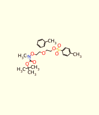 Cc1ccc(S(=O)(=O)OCCOCCON(C)C(=O)OC(C)(C)C)cc1.Cc1ccccc1